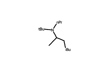 CCCN(C(C)CC(C)CC)C(C)(C)C